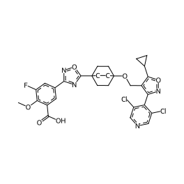 COc1c(F)cc(-c2noc(C34CCC(OCc5c(-c6c(Cl)cncc6Cl)noc5C5CC5)(CC3)CC4)n2)cc1C(=O)O